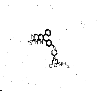 CSc1ncc2cc(-c3ccccc3)c(-c3ccc(CN4CCC(N(CC=O)CC(N)=O)CC4)cc3)nc2n1